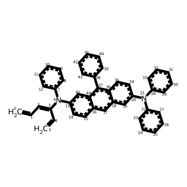 C=C/C=C(\C=C)N(c1ccccc1)c1ccc2cc3cc(N(c4ccccc4)c4ccccc4)ccc3c(-c3ccccc3)c2c1